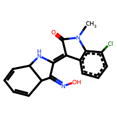 CN1C(=O)/C(=C2\NC3C=CC=CC3\C2=N\O)c2cccc(Cl)c21